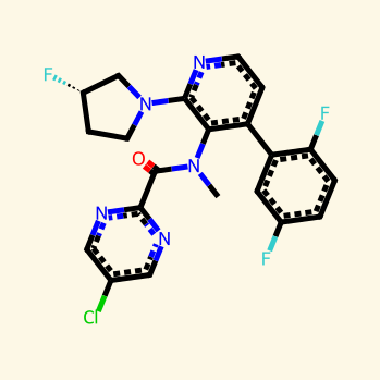 CN(C(=O)c1ncc(Cl)cn1)c1c(-c2cc(F)ccc2F)ccnc1N1CC[C@H](F)C1